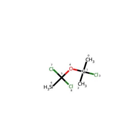 C[Si](C)(Cl)OC([SiH3])(Cl)Cl